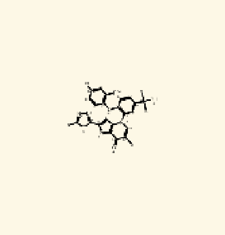 Cc1nnc(-c2cc3c([nH]2)c(=O)c(C)cn3-c2cc(C(C)(C)O)ccc2Oc2ccc(F)cc2F)o1